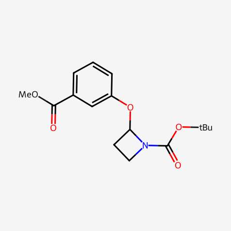 COC(=O)c1cccc(OC2CCN2C(=O)OC(C)(C)C)c1